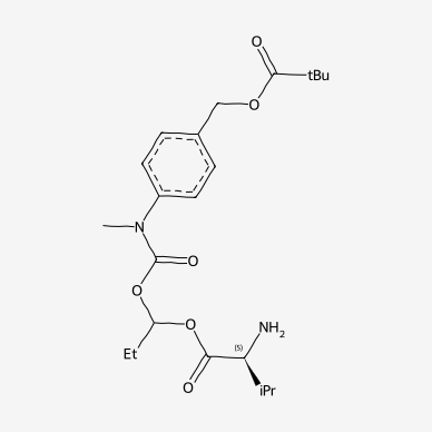 CCC(OC(=O)[C@@H](N)C(C)C)OC(=O)N(C)c1ccc(COC(=O)C(C)(C)C)cc1